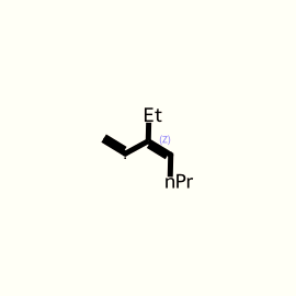 C=[C]/C(=C\CCC)CC